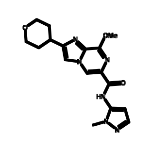 COc1nc(C(=O)Nc2ccnn2C)cn2cc(C3CCOCC3)nc12